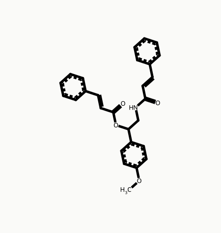 COc1ccc(C(CNC(=O)C=Cc2ccccc2)OC(=O)C=Cc2ccccc2)cc1